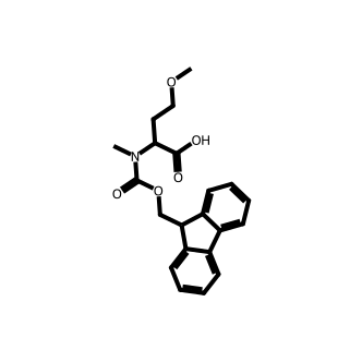 COCCC(C(=O)O)N(C)C(=O)OCC1c2ccccc2-c2ccccc21